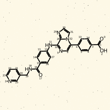 O=C(O)c1ccc(-c2cnc(Nc3ccc(C(=O)NCc4cccnc4)cc3)c3nccn23)cc1